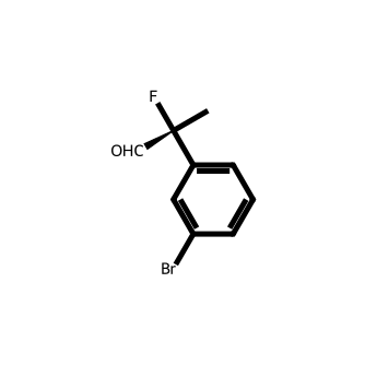 C[C@](F)(C=O)c1cccc(Br)c1